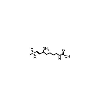 CS(=O)(=O)/C=C/C(N)CCCCNC(=O)O